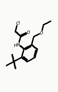 CCOCc1cccc(C(C)(C)C)c1NC(=O)CCl